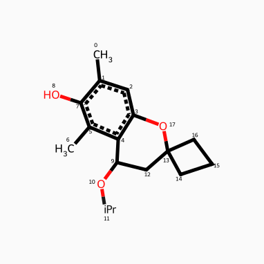 Cc1cc2c(c(C)c1O)C(OC(C)C)CC1(CCC1)O2